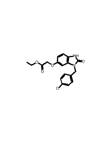 CCOC(=O)COc1ccc2[nH]c(=O)n(Cc3ccc(Cl)cc3)c2c1